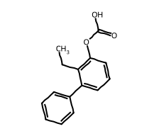 CCc1c(OC(=O)O)cccc1-c1ccccc1